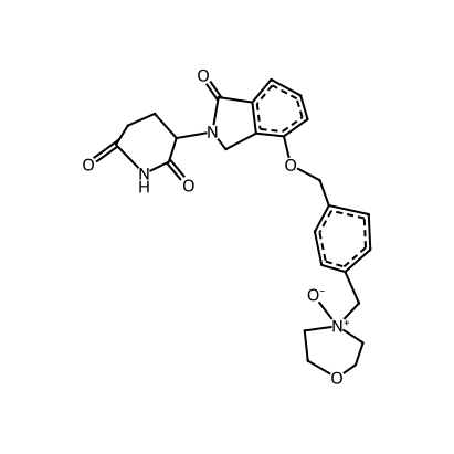 O=C1CCC(N2Cc3c(OCc4ccc(C[N+]5([O-])CCOCC5)cc4)cccc3C2=O)C(=O)N1